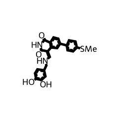 CSc1ccc(-c2ccc3c(c2)C(=CNCc2ccc(O)c(O)c2)C(=O)NC3=O)cc1